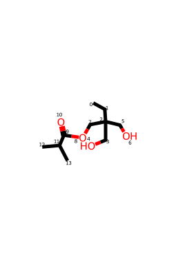 CCC(CO)(CO)COC(=O)C(C)C